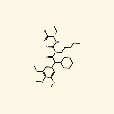 CCCCCN(C(=O)N[C@@H](CC)C(N)=O)C(=O)C(c1cc(OC)c(OC)c(OC)c1)C1CCCCC1